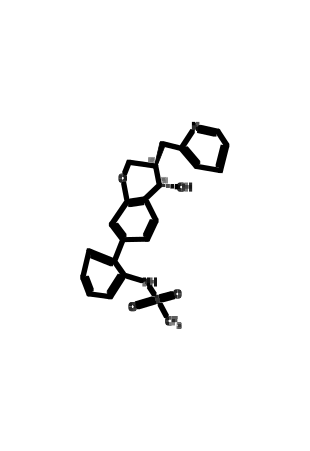 O=S(=O)(Nc1ccccc1-c1ccc2c(c1)OC[C@@H](Cc1ccccn1)[C@@H]2O)C(F)(F)F